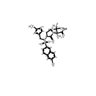 Cc1nc(CN([C@H]2CCN([C@](C)(C(=O)O)C(C)(C)C)C2=O)S(=O)(=O)c2ccc3cc(Cl)ccc3c2)cs1